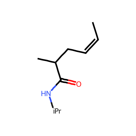 C/C=C\CC(C)C(=O)NC(C)C